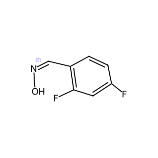 O/N=C\c1ccc(F)cc1F